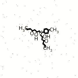 CC=CC(=O)CC(O)CN(CC(O)CC(=O)C=CC)c1ccc(C)cc1